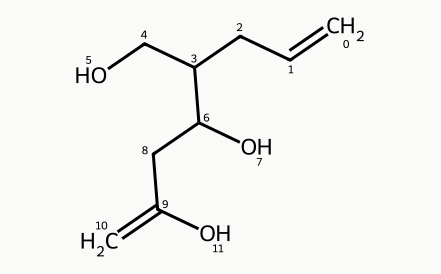 C=CCC(CO)C(O)CC(=C)O